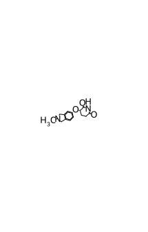 CN1Cc2ccc(OC3CCC(=O)NC3=O)cc2C1